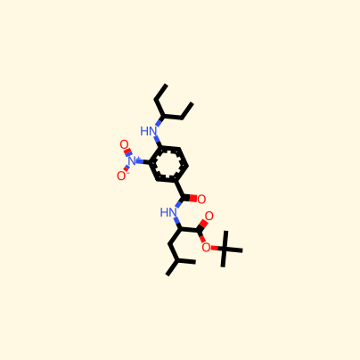 CCC(CC)Nc1ccc(C(=O)NC(CC(C)C)C(=O)OC(C)(C)C)cc1[N+](=O)[O-]